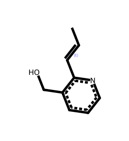 C/C=C/c1ncccc1CO